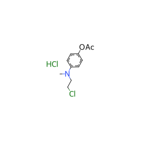 CC(=O)Oc1ccc(N(C)CCCl)cc1.Cl